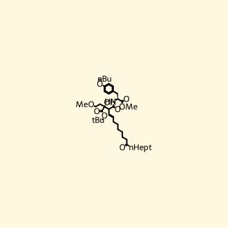 CCCCCCCC(=O)CCCCCCC=CC(C(=O)N[C@@H](Cc1ccc(OCCCC)cc1)C(=O)OC)C(O)(CCOC)C(=O)OC(C)(C)C